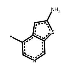 Nc1cc2c(F)cncc2s1